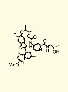 COc1cnc2c(-c3nc4cc(F)c(O[C@@H](C)[C@@H](C)OC(=O)Nc5ccnc(C(=O)NC[C@H](C)O)c5)cc4s3)cc(C)cc2n1